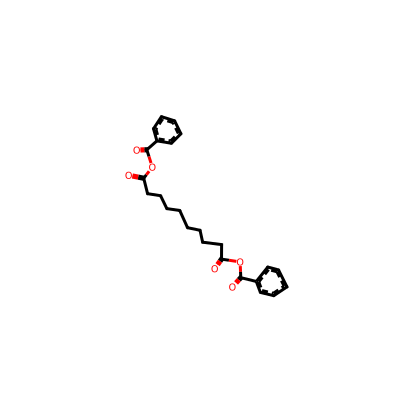 O=C(CCCCCCCCC(=O)OC(=O)c1ccccc1)OC(=O)c1ccccc1